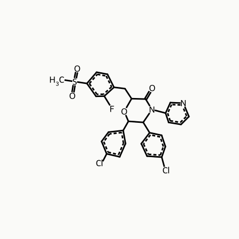 CS(=O)(=O)c1ccc(CC2OC(c3ccc(Cl)cc3)C(c3ccc(Cl)cc3)N(c3cccnc3)C2=O)c(F)c1